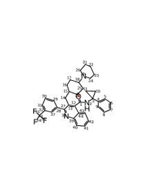 O=C(NC1(c2ccccc2)CC1)c1c(CC2CCC(N3CCCCC3)CC2)c(-c2cccc(C(F)(F)F)c2)nc2ccccc12